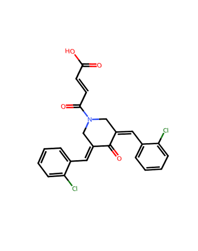 O=C(O)C=CC(=O)N1CC(=Cc2ccccc2Cl)C(=O)C(=Cc2ccccc2Cl)C1